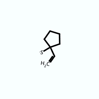 C=CC1([S])CCCC1